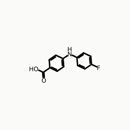 O=C(O)c1ccc(Nc2ccc(F)cc2)cc1